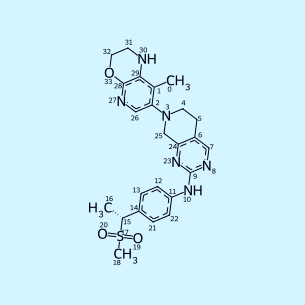 Cc1c(N2CCc3cnc(Nc4ccc([C@@H](C)S(C)(=O)=O)cc4)nc3C2)cnc2c1NCCO2